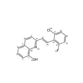 Oc1cccc2ccc(C=Cc3c(F)cccc3Cl)nc12